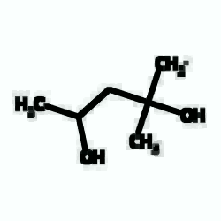 [CH2]C(C)(O)CC(C)O